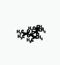 CC(C)C(=O)OC(OC(=O)C(C)(C)C)C(C)C